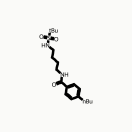 CCCCc1ccc(C(=O)NCCCCNS(=O)(=O)C(C)(C)C)cc1